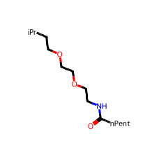 CCCCCC(=O)NCCOCCOCCC(C)C